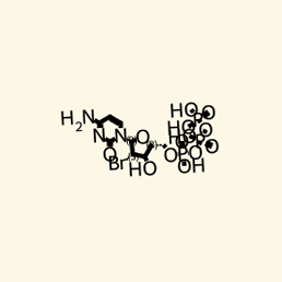 Nc1ccn([C@@H]2O[C@H](COP(=O)(O)OP(=O)(O)OP(=O)(O)O)C(O)[C@@H]2Br)c(=O)n1